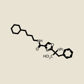 CCCC(Cc1ccccc1)(C(=O)O)c1nc(C(=O)NCCCCC2CCCCC2)co1